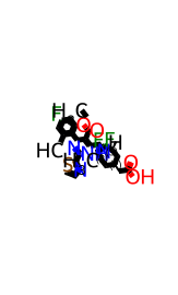 C#Cc1cc(F)ccc1C1N=C(c2nccs2)NC(CN2[C@H]3C[C@@H](CC(=O)O)C[C@]2(C)CC3(F)F)=C1C(=O)OCC